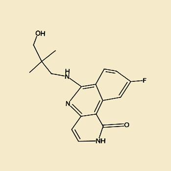 CC(C)(CO)CNc1nc2cc[nH]c(=O)c2c2cc(F)ccc12